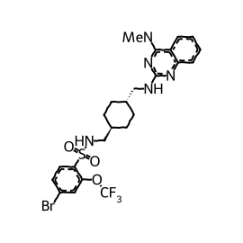 CNc1nc(NC[C@H]2CC[C@H](CNS(=O)(=O)c3ccc(Br)cc3OC(F)(F)F)CC2)nc2ccccc12